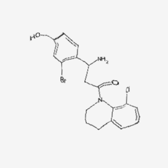 NC(CC(=O)N1CCCc2cccc(Cl)c21)c1ccc(O)cc1Br